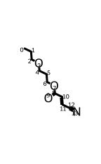 CCCOCCCOC(=O)C=CC#N